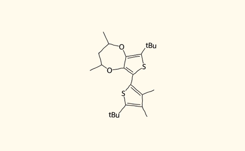 Cc1c(-c2sc(C(C)(C)C)c3c2OC(C)CC(C)O3)sc(C(C)(C)C)c1C